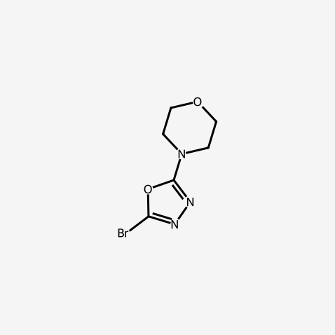 Brc1nnc(N2CCOCC2)o1